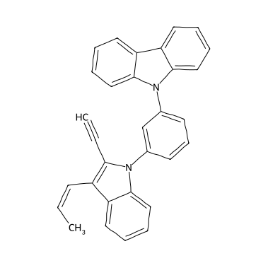 C#Cc1c(/C=C\C)c2ccccc2n1-c1cccc(-n2c3ccccc3c3ccccc32)c1